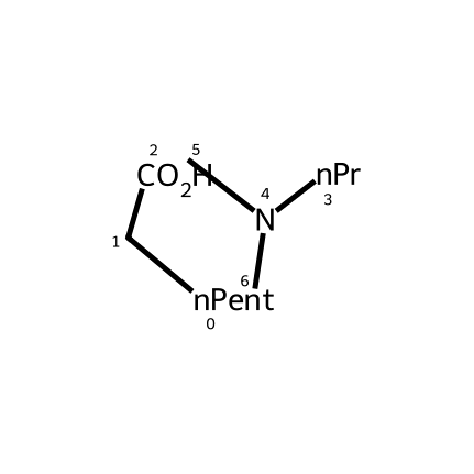 CCCCCCC(=O)O.CCCN(C)C